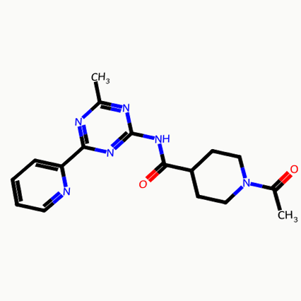 CC(=O)N1CCC(C(=O)Nc2nc(C)nc(-c3ccccn3)n2)CC1